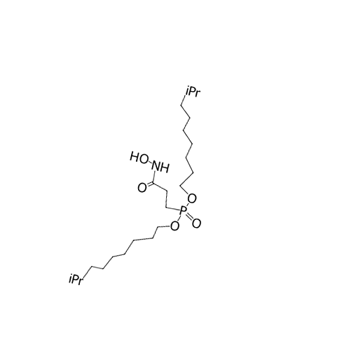 CC(C)CCCCCCCOP(=O)(CCC(=O)NO)OCCCCCCCC(C)C